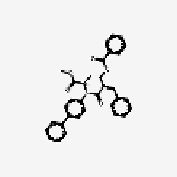 COC(=O)[C@@H](C)N(C(=O)C(CSC(=O)c1ccccc1)Cc1ccccc1)c1ccc(-c2ccccc2)cc1